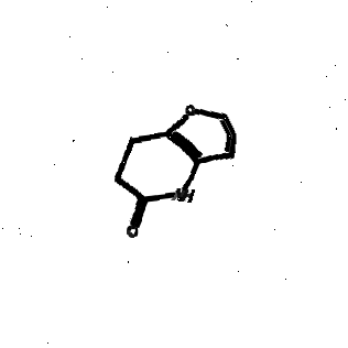 O=C1CCc2occc2N1